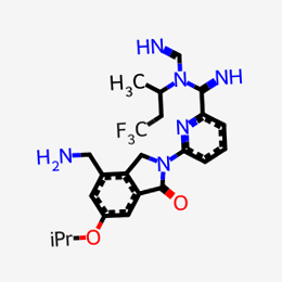 CC(C)Oc1cc(CN)c2c(c1)C(=O)N(c1cccc(C(=N)N(C=N)C(C)CC(F)(F)F)n1)C2